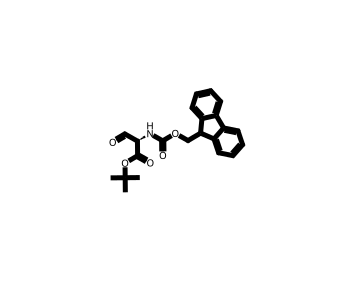 CC(C)(C)OC(=O)[C@H](C=O)NC(=O)OCC1c2ccccc2-c2ccccc21